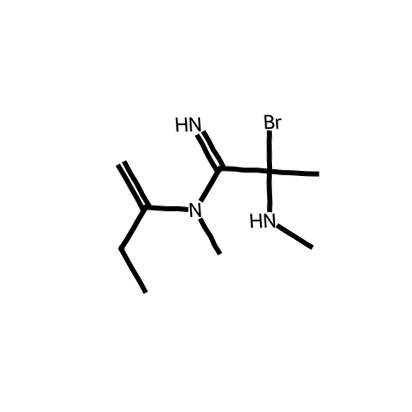 C=C(CC)N(C)C(=N)C(C)(Br)NC